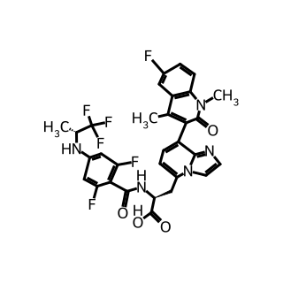 Cc1c(-c2ccc(C[C@H](NC(=O)c3c(F)cc(N[C@H](C)C(F)(F)F)cc3F)C(=O)O)n3ccnc23)c(=O)n(C)c2ccc(F)cc12